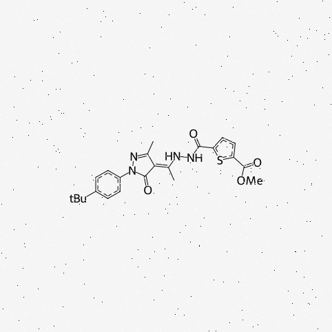 COC(=O)c1ccc(C(=O)NNC(C)=C2C(=O)N(c3ccc(C(C)(C)C)cc3)N=C2C)s1